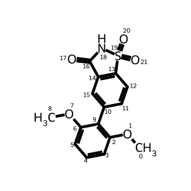 COc1cccc(OC)c1-c1ccc2c(c1)C(=O)NS2(=O)=O